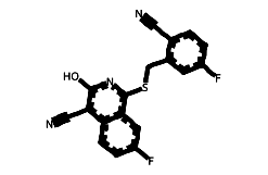 N#Cc1ccc(F)cc1CSc1nc(O)c(C#N)c2ccc(F)cc12